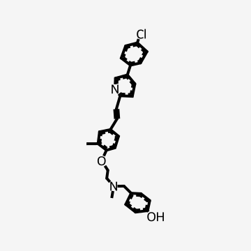 Cc1cc(C#Cc2ccc(-c3ccc(Cl)cc3)cn2)ccc1OCCN(C)Cc1ccc(O)cc1